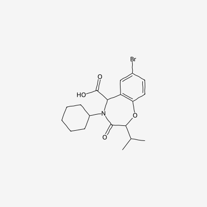 CC(C)C1Oc2ccc(Br)cc2C(C(=O)O)N(C2CCCCC2)C1=O